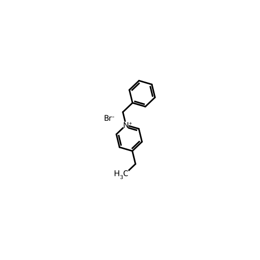 CCc1cc[n+](Cc2ccccc2)cc1.[Br-]